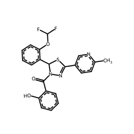 Cc1ccc(C2=NN(C(=O)c3ccccc3O)C(c3ccccc3OC(F)F)S2)cn1